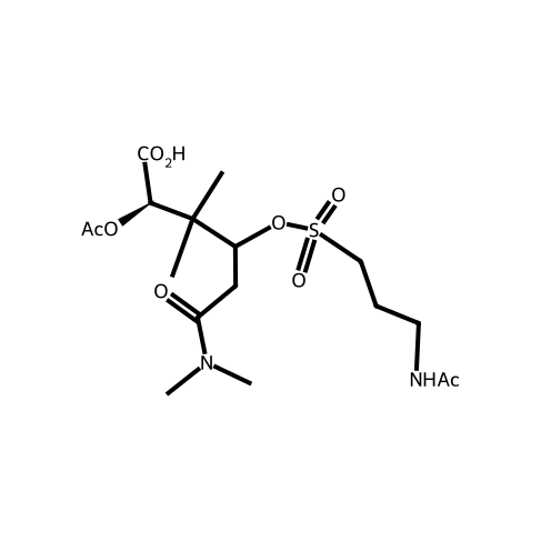 CC(=O)NCCCS(=O)(=O)OC(CC(=O)N(C)C)C(C)(C)[C@@H](OC(C)=O)C(=O)O